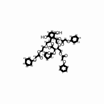 O=C(COc1ccccc1)OCCOCC(OC(=O)COc1ccccc1)c1c(O)ccc(O)c1C(COCCOC(=O)COc1ccccc1)OC(=O)COc1ccccc1